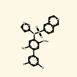 COc1cc(-c2cc(F)cc(Cl)c2)c(C#N)cc1N(c1ccon1)S(=O)(=O)c1ccc2cnccc2c1